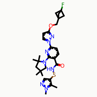 Cc1c(SNC(=O)c2ccc(-n3ccc(OCC45CC(F)(C4)C5)n3)nc2N2CC(C)(C)CC2(C)C)cnn1C